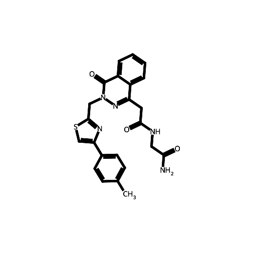 Cc1ccc(-c2csc(Cn3nc(CC(=O)NCC(N)=O)c4ccccc4c3=O)n2)cc1